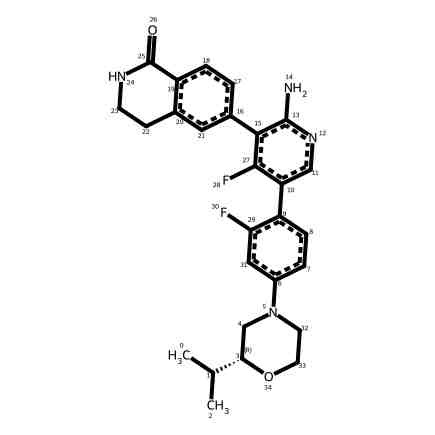 CC(C)[C@@H]1CN(c2ccc(-c3cnc(N)c(-c4ccc5c(c4)CCNC5=O)c3F)c(F)c2)CCO1